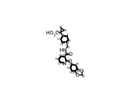 O=C(NCc1ccc(C2(C(=O)O)CC2)cc1)c1cccnc1Oc1ccc2c(c1)OCO2